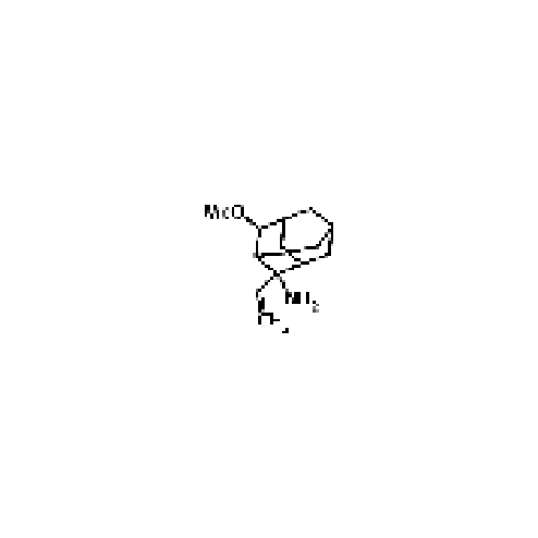 C=CC1(N)C2CC3CC(C2)C(OC)C1C3